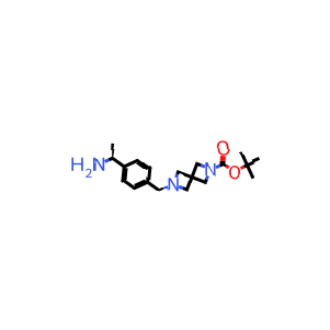 C[C@H](N)c1ccc(CN2CC3(C2)CN(C(=O)OC(C)(C)C)C3)cc1